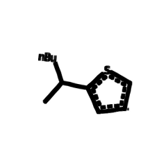 CCCCC(C)c1c[c]cs1